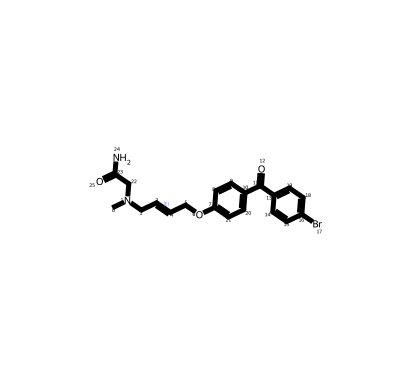 CN(C/C=C/COc1ccc(C(=O)c2ccc(Br)cc2)cc1)CC(N)=O